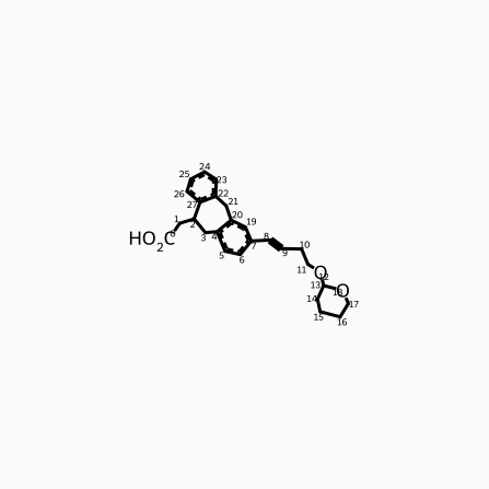 O=C(O)CC1Cc2ccc(C#CCCOC3CCCCO3)cc2Cc2ccccc21